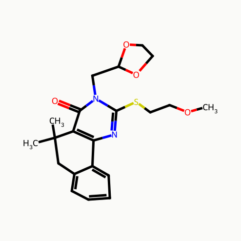 COCCSc1nc2c(c(=O)n1CC1OCCO1)C(C)(C)Cc1ccccc1-2